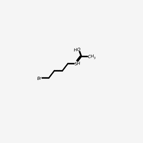 CC(O)=[SH]CCCCBr